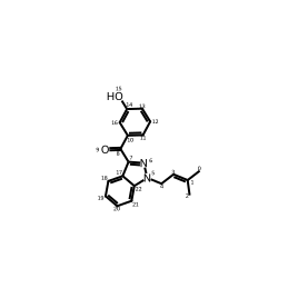 CC(C)=CCn1nc(C(=O)c2cccc(O)c2)c2ccccc21